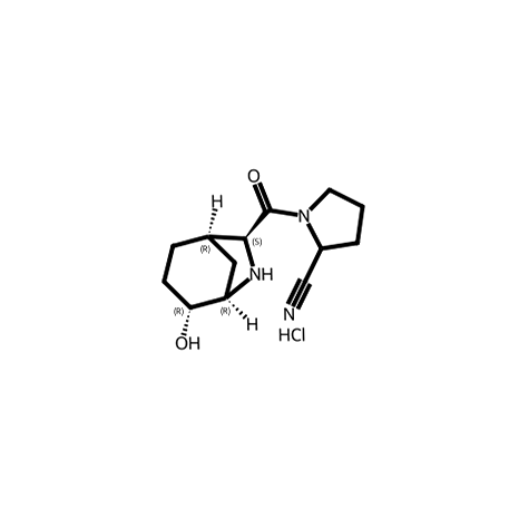 Cl.N#CC1CCCN1C(=O)[C@H]1N[C@@H]2C[C@H]1CC[C@H]2O